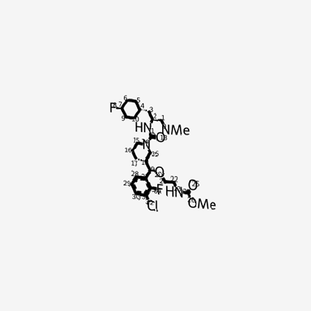 CNC[C@H](C[C@H]1CC[C@H](F)CC1)NC(=O)N1CCC[C@@H]([C@@H](OCCNC(=O)OC)c2cccc(Cl)c2F)C1